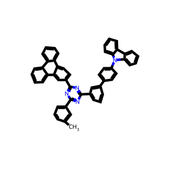 Cc1cccc(-c2nc(-c3cccc(-c4ccc(-n5c6ccccc6c6ccccc65)cc4)c3)nc(-c3ccc4c5ccccc5c5ccccc5c4c3)n2)c1